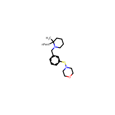 CCCCCC1(C)CCCCN1Cc1cccc(SN2CCOCC2)c1